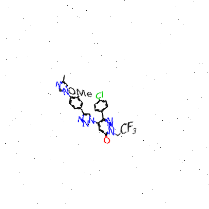 COc1cc(-c2cn(-c3cc(=O)n(CC(F)(F)F)nc3-c3ccc(Cl)cc3)nn2)ccc1-n1cnc(C)c1